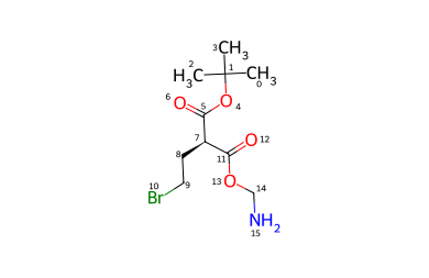 CC(C)(C)OC(=O)[C@H](CCBr)C(=O)OCN